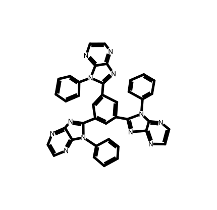 c1ccc(-n2c(-c3cc(-c4nc5nccnc5n4-c4ccccc4)cc(-c4nc5nccnc5n4-c4ccccc4)c3)nc3nccnc32)cc1